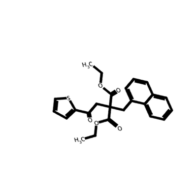 CCOC(=O)C(CC(=O)c1cccs1)(Cc1cccc2ccccc12)C(=O)OCC